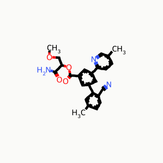 COCC(OC(=O)c1cc(-c2ccc(C)cn2)cc(-c2cc(C)ccc2C#N)c1)C(N)=O